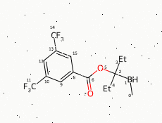 CBC(CC)(CC)OC(=O)c1cc(C(F)(F)F)cc(C(F)(F)F)c1